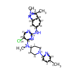 Cc1ccc(N2CCC(N(C)c3nc(Nc4ccc5c(C)n(C)nc5c4)ncc3Cl)CC2)nc1